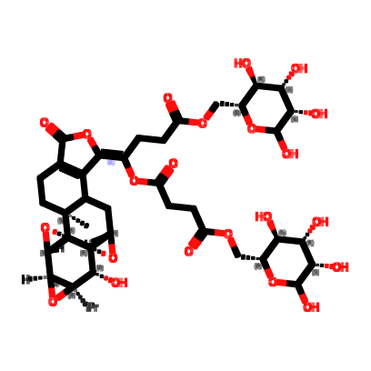 CC(C)[C@]12O[C@H]1[C@@H]1O[C@]13[C@]1(O[C@H]1CC1C4=C(CC[C@@]13C)C(=O)O/C4=C(\CCC(=O)OC[C@H]1OC(O)[C@@H](O)[C@@H](O)[C@@H]1O)OC(=O)CCC(=O)OC[C@H]1OC(O)[C@@H](O)[C@@H](O)[C@@H]1O)[C@@H]2O